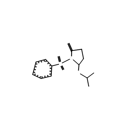 CC(C)OC1CCC(=O)N1S(=O)(=O)c1ccccc1